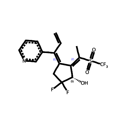 C=C/C(=C1/CC(F)(F)[C@@H](O)/C1=C(/C)S(=O)(=O)C(F)(F)F)c1cccnc1